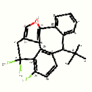 CC(C)(C)C1c2ccccc2-c2occ3c2-c2c1ccc(F)c2C(F)(F)C3